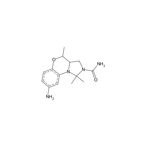 CC1Oc2ccc(N)cc2N2C1CN(C(N)=O)C2(C)C